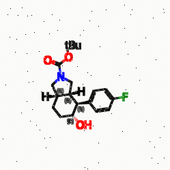 CC(C)(C)OC(=O)N1C[C@H]2CC[C@@H](O)[C@H](c3ccc(F)cc3)[C@H]2C1